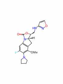 COc1c2c(cc(F)c1N1CCCC1)N1C(=O)O[C@@H](CNc3ccon3)[C@@H]1C2